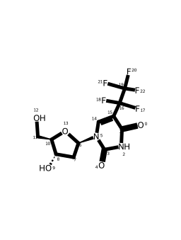 O=c1[nH]c(=O)n([C@H]2C[C@H](O)[C@@H](CO)O2)cc1C(F)(F)C(F)(F)F